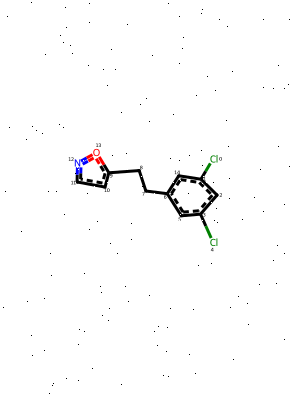 Clc1cc(Cl)cc(CCc2ccno2)c1